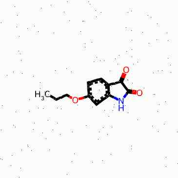 CCCOc1ccc2c(c1)NC(=O)C2=O